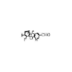 O=Cc1cnc(Oc2cccc(I)c2F)c(C(F)(F)F)c1